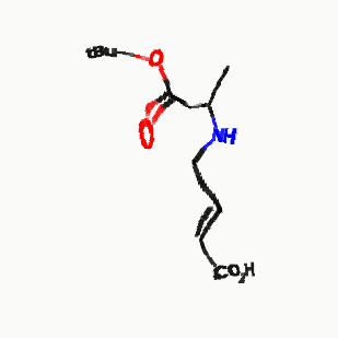 CC(NC/C=C/C(=O)O)C(=O)OC(C)(C)C